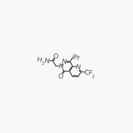 CC(C)c1nn(CC(N)=O)c(=O)c2ccc(C(F)(F)F)nc12